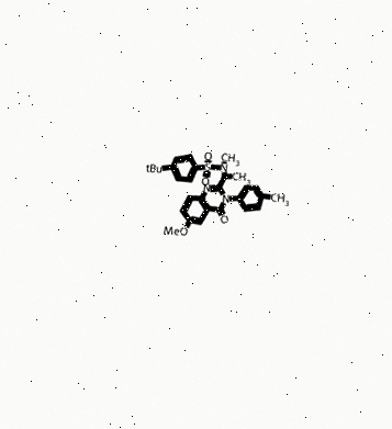 COc1ccc2nc(C(C)N(C)S(=O)(=O)c3ccc(C(C)(C)C)cc3)n(-c3ccc(C)cc3)c(=O)c2c1